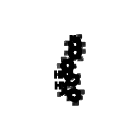 C[C@@H](NC1CCCc2c1[nH]c1ccc(-c3ccc4ccncc4c3)cc21)c1ccccc1